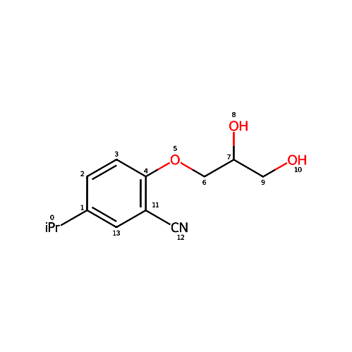 CC(C)c1ccc(OCC(O)CO)c(C#N)c1